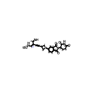 CC(C)(C)N/C=C(/C#CC1CN(c2ccc3c(c2)C(=O)N(C2CCC(=O)NC2=O)C3=O)C1)C=N